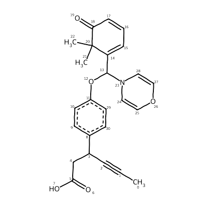 CC#CC(CC(=O)O)c1ccc(OC(C2=CC=CC(=O)C2(C)C)N2C=COC=C2)cc1